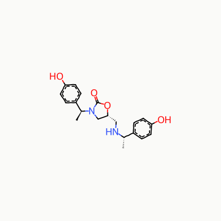 C[C@H](NC[C@@H]1CN([C@@H](C)c2ccc(O)cc2)C(=O)O1)c1ccc(O)cc1